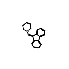 C(=C1c2ccccc2-c2ccccc21)N1CCCCC1